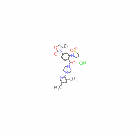 CCC1COC(=O)N1c1ccc(C(=O)N2CCN(c3ncc(C)cc3C)CC2)c(N2CCCS2(=O)=O)c1.Cl